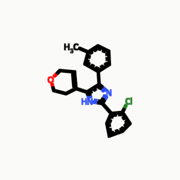 Cc1cccc(-c2nc(-c3ccccc3Cl)[nH]c2C2=CCOCC2)c1